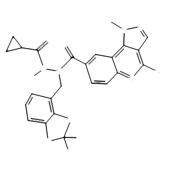 CN(C(=O)C1CC1)N(Cc1cccc2c1OC(F)(F)O2)C(=O)c1ccc2nc(N)c3cnn(C)c3c2c1